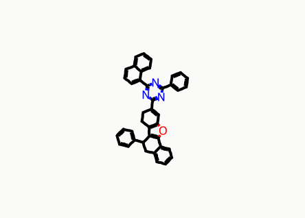 C1=C(c2nc(-c3ccccc3)nc(-c3cccc4ccccc34)n2)CCc2c1oc1c2C(c2ccccc2)Cc2ccccc2-1